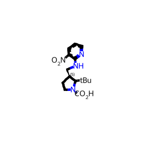 CC(C)(C)C1[C@H](CNc2ncccc2[N+](=O)[O-])CCN1C(=O)O